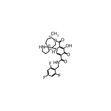 C[C@H]1CC[C@]2(CCCN2)[C@H]2CN1C(=O)c1c(O)c(=O)c(C(=O)NCc3c(F)cc(F)cc3F)cn12